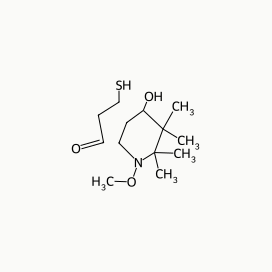 CON1CCC(O)C(C)(C)C1(C)C.O=CCCS